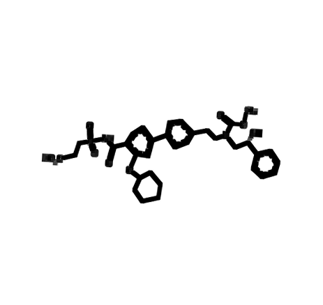 CC(C)(C)OC(=O)N(CCc1ccc(-c2ccc(C(=O)NS(=O)(=O)CCC(=O)O)c(OC3CCCCC3)c2)cc1)C[C@H](O)c1ccccc1